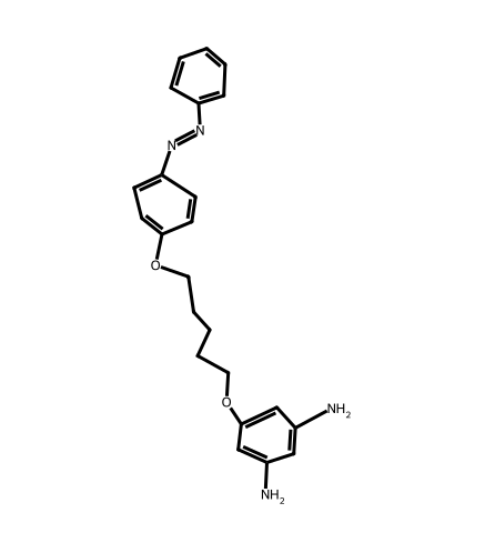 Nc1cc(N)cc(OCCCCCOc2ccc(N=Nc3ccccc3)cc2)c1